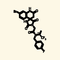 C[C@H](N(Cc1ccc(F)cc1)C(=O)CN1C(=O)NC2(CC(=O)Nc3cc(Br)ccc32)C1=O)C(F)(F)F